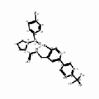 O=C(NCc1cc(-c2cnc(C(F)(F)F)nc2)ncc1F)[C@@H]1CCCN1[S+]([O-])c1ccc(F)cc1